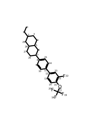 CCC1CCC2CC(c3ccc(-c4ccc(OC(F)(F)F)c(F)c4)cc3)CCC2C1